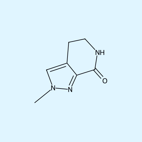 Cn1cc2c(n1)C(=O)NCC2